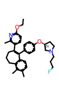 CCOc1ccc(C2=C(c3ccc(O[C@H]4CCN(CCCF)C4)cc3)c3ccc(C)c(C)c3CCC2)c(C)n1